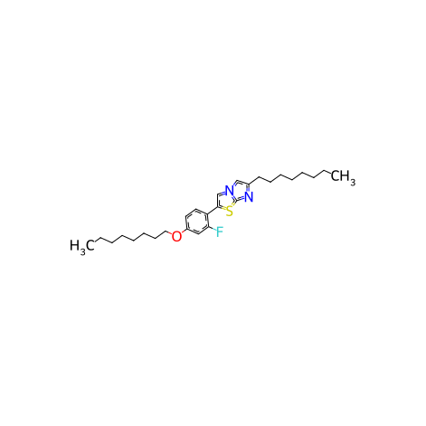 CCCCCCCCOc1ccc(-c2cn3cc(CCCCCCCC)nc3s2)c(F)c1